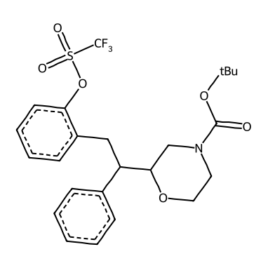 CC(C)(C)OC(=O)N1CCOC(C(Cc2ccccc2OS(=O)(=O)C(F)(F)F)c2ccccc2)C1